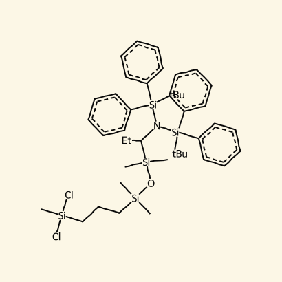 CCC(N([Si](c1ccccc1)(c1ccccc1)C(C)(C)C)[Si](c1ccccc1)(c1ccccc1)C(C)(C)C)[Si](C)(C)O[Si](C)(C)CCC[Si](C)(Cl)Cl